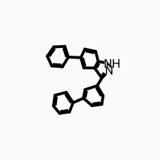 c1ccc(-c2cccc(-c3n[nH]c4ccc(-c5ccccc5)cc34)c2)cc1